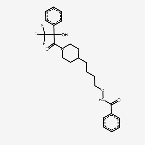 O=C(NOCCCCC1CCN(C(=O)C(O)(c2ccccc2)C(F)(F)F)CC1)c1ccccc1